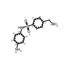 BCc1ccc(S(=O)(=O)Nc2ccc(N)cc2)cc1